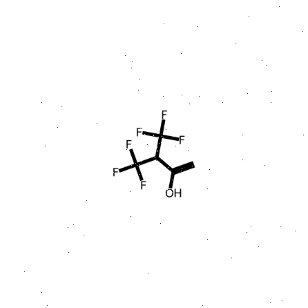 C=C(O)[C](C(F)(F)F)C(F)(F)F